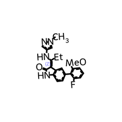 CC/C(Nc1cnn(C)c1)=C1/C(=O)Nc2ccc(-c3c(F)cccc3OC)cc21